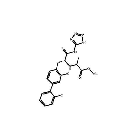 CC(N[C@H](Cc1ccc(-c2ccccc2Cl)cc1Cl)C(=O)Nc1nnn[nH]1)C(=O)OC(C)(C)C